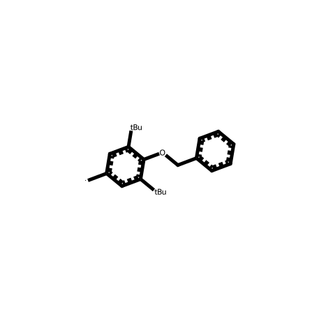 [CH2]c1cc(C(C)(C)C)c(OCc2ccccc2)c(C(C)(C)C)c1